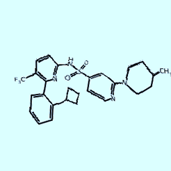 CC1CCN(c2cc(S(=O)(=O)Nc3ccc(C(F)(F)F)c(-c4ccccc4C4CCC4)n3)ccn2)CC1